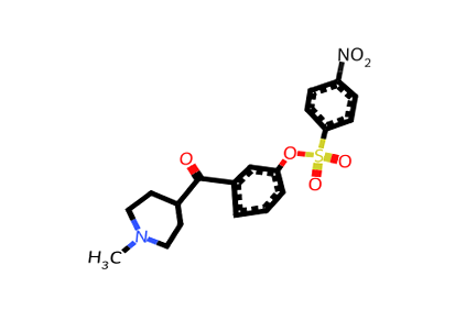 CN1CCC(C(=O)c2cccc(OS(=O)(=O)c3ccc([N+](=O)[O-])cc3)c2)CC1